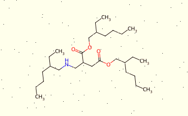 CCCCC(CC)CNCC(CC(=O)OCC(CC)CCCC)C(=O)OCC(CC)CCCC